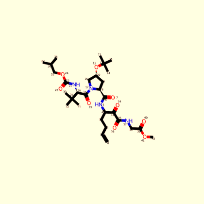 C=CCCC(NC(=O)[C@@H]1C[C@@H](OC(C)(C)C)CN1C(=O)[C@@H](NC(=O)OCC(C)C)C(C)(C)C)C(=O)C(=O)NCC(=O)OC